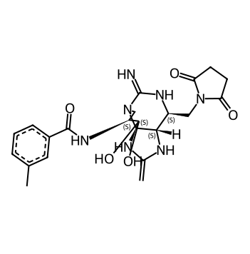 C=C1N[C@H]2[C@H](CN3C(=O)CCC3=O)NC(=N)N3C[C@H](NC(=O)c4cccc(C)c4)C(O)(O)[C@]23N1